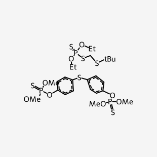 CCOP(=S)(OCC)SCSC(C)(C)C.COP(=S)(OC)Oc1ccc(Sc2ccc(OP(=S)(OC)OC)cc2)cc1